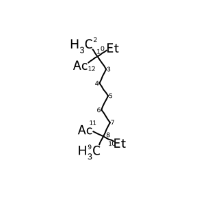 CCC(C)(CCCCCC(C)(CC)C(C)=O)C(C)=O